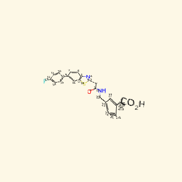 O=C(Cc1nc2ccc(-c3ccc(F)cc3)cc2s1)NCc1cccc(C(=O)O)c1